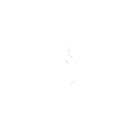 C=CCCC1C=CN2C(=O)C[C@H]2S1